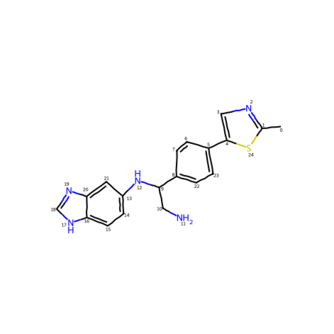 Cc1ncc(-c2ccc(C(CN)Nc3ccc4[nH]cnc4c3)cc2)s1